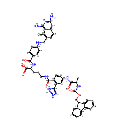 CC(NC(=O)OCC1c2ccccc2-c2ccccc21)C(=O)Nc1ccc(C(=O)NCCCC(NC(=O)c2ccc(NCc3ccc4nc(N)nc(N)c4c3Cl)cc2)C(=O)O)c(-c2nnn[nH]2)c1